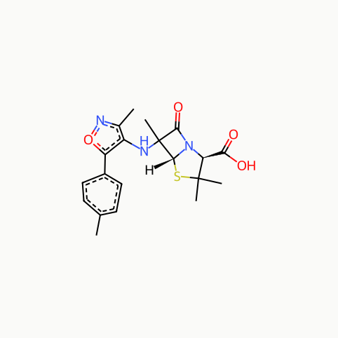 Cc1ccc(-c2onc(C)c2NC2(C)C(=O)N3[C@@H](C(=O)O)C(C)(C)S[C@@H]32)cc1